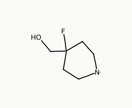 OCC1(F)CC[N]CC1